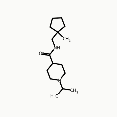 CC(C)N1CCC(C(=O)NCC2(C)CCCC2)CC1